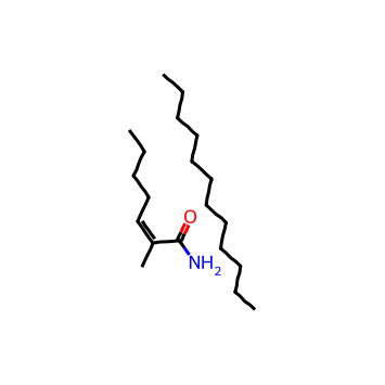 CCCCC=C(C)C(N)=O.CCCCCCCCCCCC